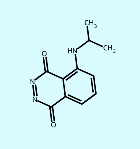 CC(C)Nc1cccc2c1C(=O)N=NC2=O